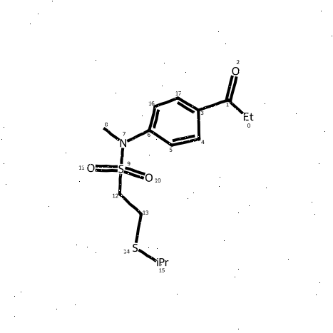 CCC(=O)c1ccc(N(C)S(=O)(=O)CCSC(C)C)cc1